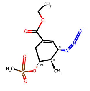 CCOC(=O)C1=C[C@@H](N=[N+]=[N-])[C@@H](C)[C@H](OS(C)(=O)=O)C1